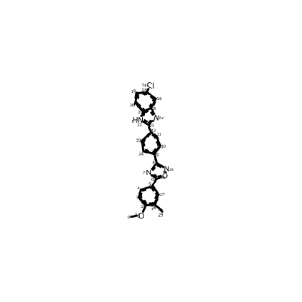 COc1ccc(-c2nc(-c3ccc(-c4nc5cc(Cl)ccc5[nH]4)cc3)no2)cc1C